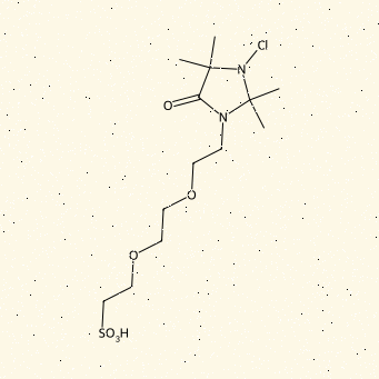 CC1(C)C(=O)N(CCOCCOCCS(=O)(=O)O)C(C)(C)N1Cl